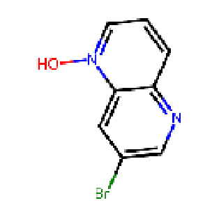 O[n+]1cccc2ncc(Br)cc21